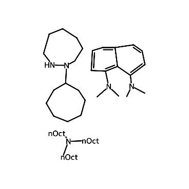 C1CCCC(N2CCCCCCN2)CCC1.CCCCCCCCN(CCCCCCCC)CCCCCCCC.CN(C)c1cccc2cccc(N(C)C)c12